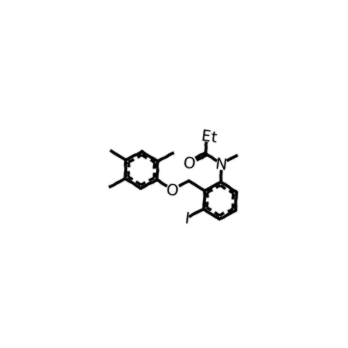 CCC(=O)N(C)c1cccc(I)c1COc1cc(C)c(C)cc1C